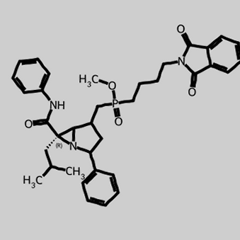 COP(=O)(CCCCN1C(=O)c2ccccc2C1=O)CC1CC(c2ccccc2)N2C1[C@]2(CC(C)C)C(=O)Nc1ccccc1